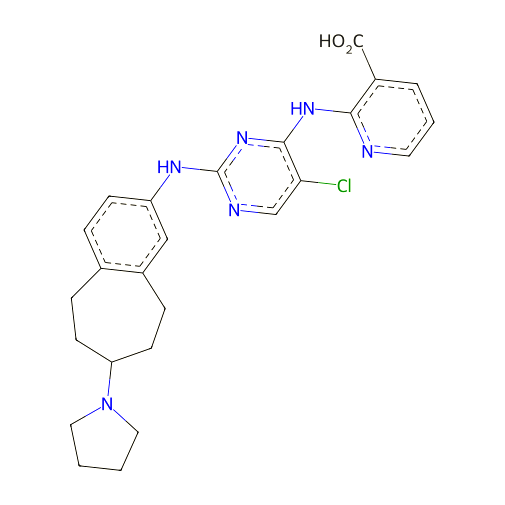 O=C(O)c1cccnc1Nc1nc(Nc2ccc3c(c2)CCC(N2CCCC2)CC3)ncc1Cl